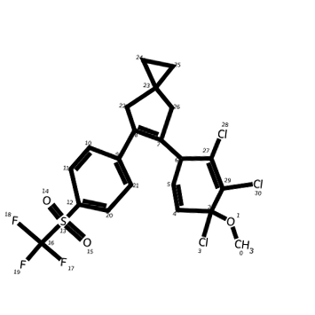 COC1(Cl)C=CC(C2=C(c3ccc(S(=O)(=O)C(F)(F)F)cc3)CC3(CC3)C2)C(Cl)=C1Cl